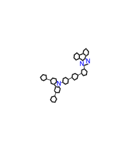 c1ccc(-c2ccc3c(c2)c2cc(-c4ccccc4)ccc2n3-c2ccc(-c3ccc(-c4cccc(-c5cnc6c7ccccc7c7ccccc7c6n5)c4)cc3)cc2)cc1